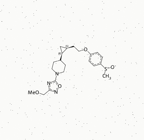 COCc1noc(N2CCC([C@H]3C[C@H]3CCOc3ccc([S+](C)[O-])cc3)CC2)n1